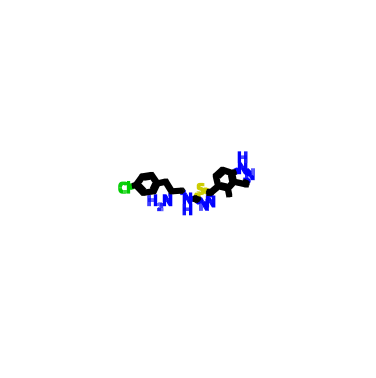 Cc1c(-c2nnc(NC[C@H](N)Cc3ccc(Cl)cc3)s2)ccc2[nH]ncc12